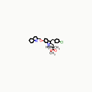 COC(=O)C(C)(C)Cc1c(Cc2ccc(Cl)cc2)c2ccc(OCc3ccc4ccccc4n3)cc2n1C